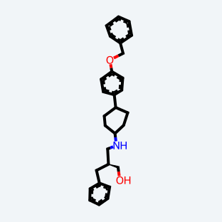 OC[C@H](CNC1CCC(c2ccc(OCc3ccccc3)cc2)CC1)Cc1ccccc1